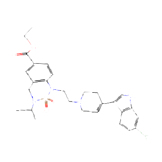 CCOC(=O)c1ccc2c(c1)CN(C(C)C)S(=O)(=O)N2CCN1CC=C(c2c[nH]c3cc(F)ccc23)CC1